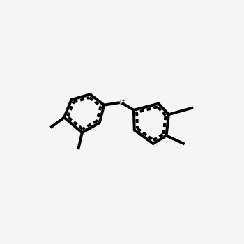 Cc1ccc([I+]c2ccc(C)c(C)c2)cc1C